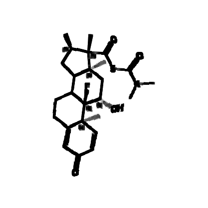 C[C@@H]1CC2C3CCC4=CC(=O)C=C[C@]4(C)[C@@]3(F)[C@@H](O)C[C@]2(C)[C@@]1(C)C(=O)SC(=O)N(C)C